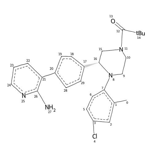 Cc1cc(Cl)ccc1N1CCN(C(=O)C(C)(C)C)C[C@H]1c1ccc(-c2cccnc2N)cc1